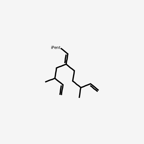 C=CC(C)CCC(=CC(C)CCC)CC(C)C=C